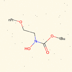 CCCOCCN(O)C(=O)OC(C)(C)C